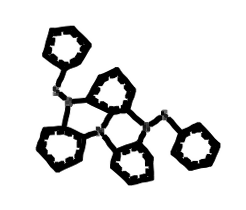 c1ccc(SB2c3ccccc3N3c4ccccc4B(Sc4ccccc4)c4cccc2c43)cc1